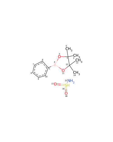 CC1(C)OB(c2ccccc2)OC1(C)C.N[SH](=O)=O